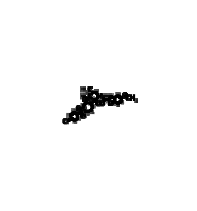 COc1ccc2oc(C(=O)NC(CC(C)C)C(=O)N[C@H]3CCCN(S(=O)(=O)c4ccc(Cl)cc4)CC3=O)cc2c1